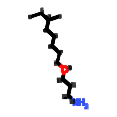 CCC(C)CCCCCOCCCN